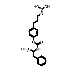 O=C(NC(Cc1ccccc1)C(=O)O)Oc1ccc(CCCON(O)O)cc1